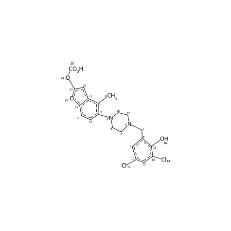 Cc1c(N2CCN(Cc3cc(Cl)cc(Cl)c3O)CC2)ccc2oc(OC(=O)O)cc12